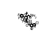 CCOc1c(CC(N)=O)cc([C@@](O)(CNC(=O)c2cc(OC)c3ncc(Cl)cc3c2)C(F)(F)F)nc1-c1ccc(F)c(F)c1Cl